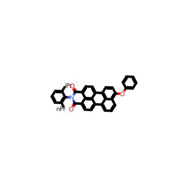 CCCc1cccc(C(C)C)c1N1C(=O)c2ccc3c4cccc5c(Oc6ccccc6)ccc(c6ccc(c2c36)C1=O)c54